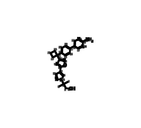 CC(C)(CO)n1cc(-c2nc(C3(c4ccc(-c5cnc(N)nc5)cc4)CCC3)no2)cn1